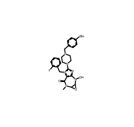 CN1C(=O)c2c(nc(N3CCN(Cc4ccc(C(C)(C)C)cc4)CC3)n2Cc2ccccc2F)N(O)C2OC21